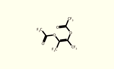 O=C(OC(=C(OC(=O)C(F)(F)F)C(F)(F)F)C(F)(F)F)C(F)(F)F